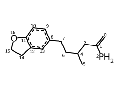 C=C(P)CC(C)CCc1ccc2c(c1)CCO2